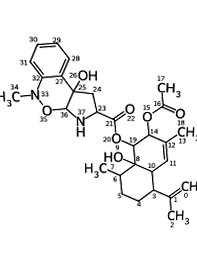 C=C(C)C1CCC(C)C2(O)C1C=C(C)C(OC(C)=O)C2OC(=O)C1CC2(O)c3ccccc3N(C)OC2N1